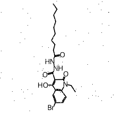 CCCCCCCCCC(=O)NNC(=O)c1c(O)c2cc(Br)ccc2n(CC)c1=O